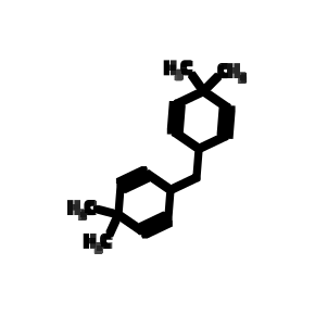 CC1(C)C#CC(CC2C#CC(C)(C)C#C2)C#C1